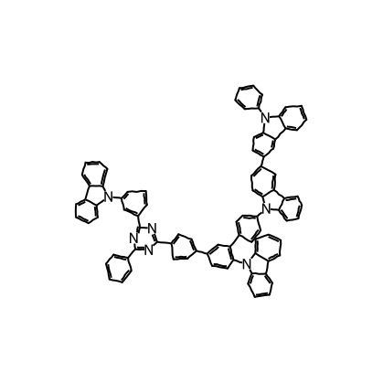 c1ccc(-c2nc(-c3ccc(-c4ccc(-n5c6ccccc6c6ccccc65)c(-c5ccc(-n6c7ccccc7c7cc(-c8ccc9c(c8)c8ccccc8n9-c8ccccc8)ccc76)cc5)c4)cc3)nc(-c3cccc(-n4c5ccccc5c5ccccc54)c3)n2)cc1